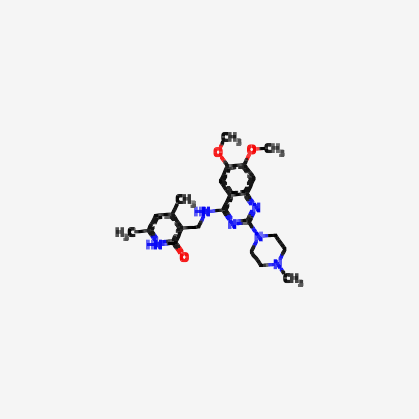 COc1cc2nc(N3CCN(C)CC3)nc(NCc3c(C)cc(C)[nH]c3=O)c2cc1OC